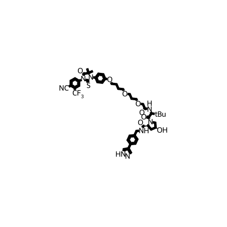 CC(C)(C)C(NC(=O)COCCCOCCCCOc1ccc(N2C(=S)N(c3ccc(C#N)c(C(F)(F)F)c3)C(=O)C2(C)C)cc1)C(=O)N1C[C@H](O)C[C@H]1C(=O)NCc1ccc(-c2cn[nH]c2)cc1